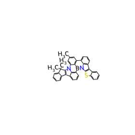 Cc1cc2c3c(c1)-n1c4c(c5cccc(c51)B3n1c3sc5ccccc5c3c3cccc-2c31)-c1ccccc1C4(C)C